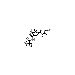 CC(CO)NC(=O)N1Cc2c(NC(=O)C3([Si](C)(C)C)CCC3)n[nH]c2C1(C)C